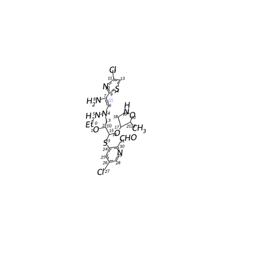 CCO[C@@H](CN(N)/C=C(\N)c1nc(Cl)cs1)C(OC1CNOC1C)Sc1cc(Cl)cnc1C=O